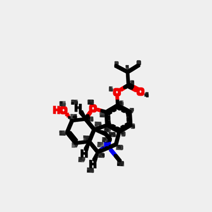 CC(C)C(=O)Oc1ccc2c3c1O[C@H]1[C@@H](O)C=C[C@H]4[C@@H](C2)N(C)CC[C@@]341